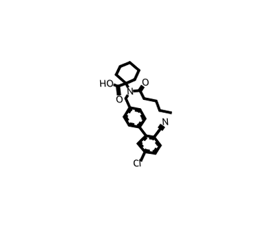 CCCCC(=O)N(Cc1ccc(-c2cc(Cl)ccc2C#N)cc1)C1(C(=O)O)CCCCC1